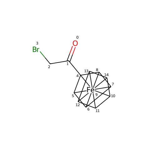 O=C(CBr)[C]12[CH]3[CH]4[CH]5[CH]1[Fe]45321678[CH]2[CH]1[CH]6[CH]7[CH]28